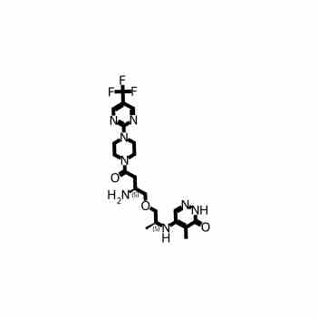 Cc1c(N[C@@H](C)COC[C@@H](N)CC(=O)N2CCN(c3ncc(C(F)(F)F)cn3)CC2)cn[nH]c1=O